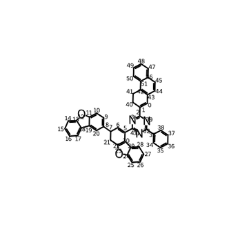 C1=C(c2nc(C3=CC(c4ccc5oc6ccccc6c5c4)Cc4oc5ccccc5c43)nc(-c3ccccc3)n2)CCc2c1ccc1ccccc21